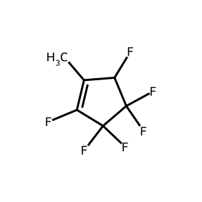 CC1=C(F)C(F)(F)C(F)(F)C1F